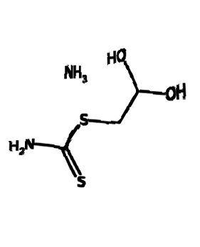 N.NC(=S)SCC(O)O